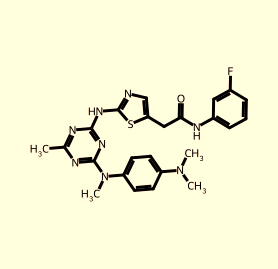 Cc1nc(Nc2ncc(CC(=O)Nc3cccc(F)c3)s2)nc(N(C)c2ccc(N(C)C)cc2)n1